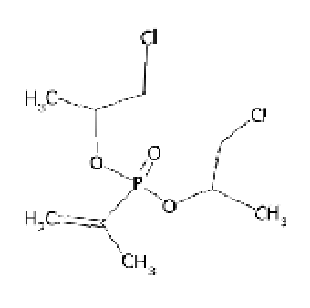 C=C(C)P(=O)(OC(C)CCl)OC(C)CCl